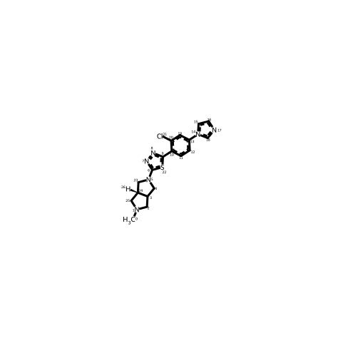 CN1CC2CN(c3nnc(-c4ccc(-n5ccnc5)cc4Cl)s3)C[C@H]2C1